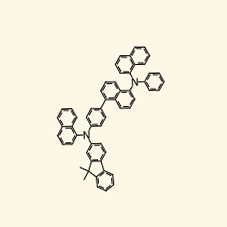 CC1(C)c2ccccc2-c2ccc(N(c3ccc(-c4cccc5c(N(c6ccccc6)c6cccc7ccccc67)cccc45)cc3)c3cccc4ccccc34)cc21